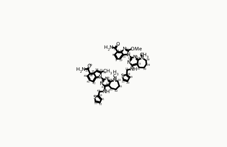 COc1nc2c(C(N)=O)cccc2n1-c1nc(NCc2cccs2)c2c(n1)N(C)CCCC2.Cc1cc2c(C(N)=O)cccc2n1-c1nc(NCc2cccs2)c2c(n1)N(C)CCCC2